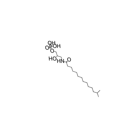 CC(C)CCCCCCCCCCCC(=O)NCC(O)COP(=O)(O)O